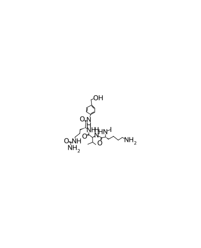 CC(C)[C@H](NC(=O)[C@H](CCCCN)NI)C(=O)N[C@@H](CCCNC(N)=O)C(=O)Nc1ccc(CO)cc1